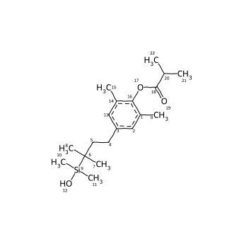 Cc1cc(CCC(C)(C)[Si](C)(C)O)cc(C)c1OC(=O)C(C)C